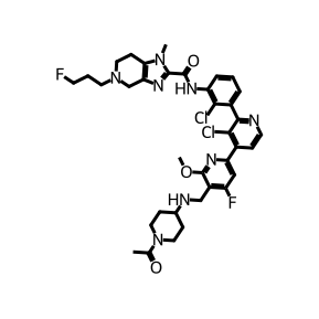 COc1nc(-c2ccnc(-c3cccc(NC(=O)c4nc5c(n4C)CCN(CCCF)C5)c3Cl)c2Cl)cc(F)c1CNC1CCN(C(C)=O)CC1